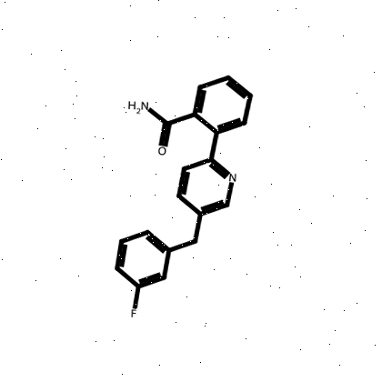 NC(=O)c1ccccc1-c1ccc(Cc2cccc(F)c2)cn1